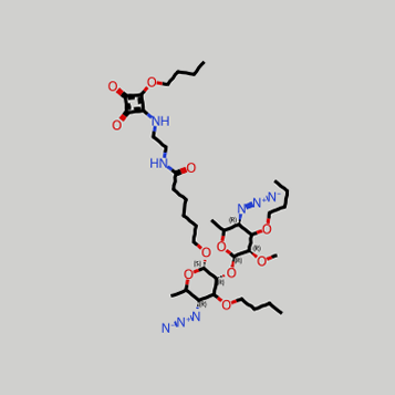 CCCCOc1c(NCCNC(=O)CCCCCO[C@H]2OC(C)[C@@H](N=[N+]=[N-])C(OCCCC)[C@H]2O[C@H]2OC(C)[C@@H](N=[N+]=[N-])C(OCCCC)[C@H]2OC)c(=O)c1=O